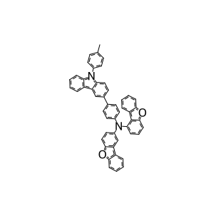 Cc1ccc(-n2c3ccccc3c3cc(-c4ccc(N(c5ccc6oc7ccccc7c6c5)c5cccc6oc7ccccc7c56)cc4)ccc32)cc1